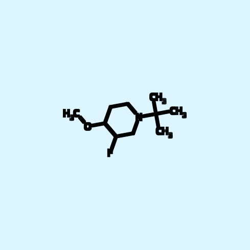 COC1CCN(C(C)(C)C)CC1F